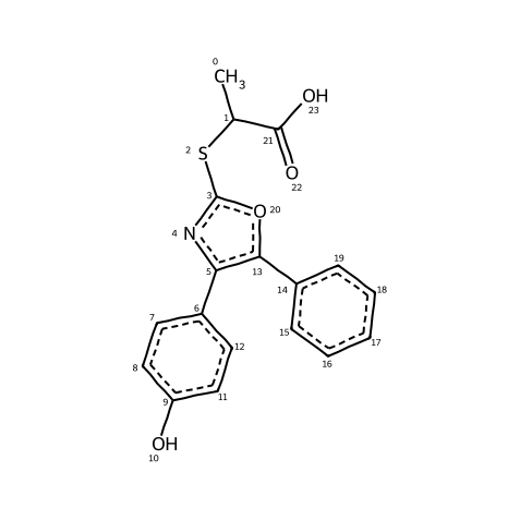 CC(Sc1nc(-c2ccc(O)cc2)c(-c2ccccc2)o1)C(=O)O